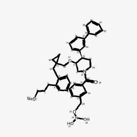 COCCCc1ccccc1CC1(COC2CN(C(=O)c3cccc(CON(O)O)c3)CC[C@@H]2c2cccc(-c3ccccc3)c2)CC1